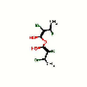 CC(Br)C(Br)=C(O)OC(O)=C(Br)C(C)Br